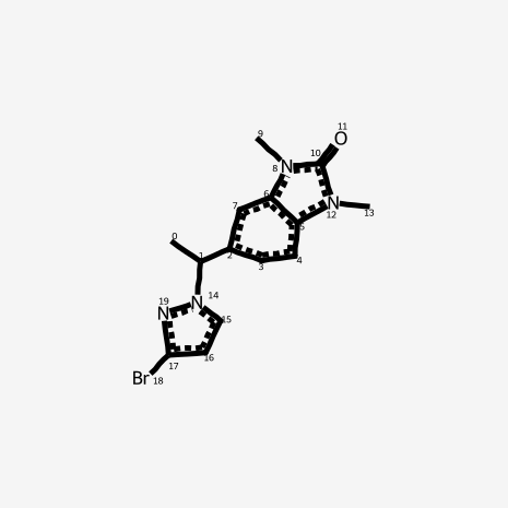 CC(c1ccc2c(c1)n(C)c(=O)n2C)n1ccc(Br)n1